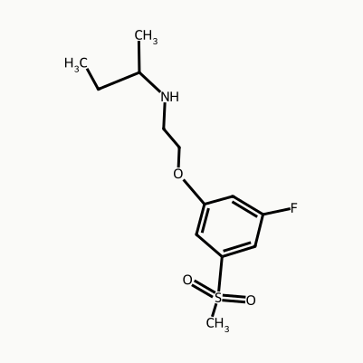 CCC(C)NCCOc1cc(F)cc(S(C)(=O)=O)c1